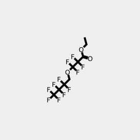 CCOC(=O)C(F)(F)C(F)(F)OCC(F)(F)C(F)(F)C(F)(F)F